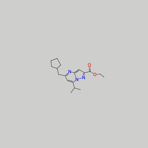 CCOC(=O)c1cc2nc(CC3CCCC3)cc(C(C)C)n2n1